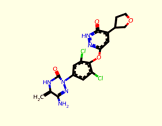 C=C1NC(=O)N(c2cc(Cl)c(Oc3cc(C4CCOC4)c(=O)[nH]n3)c(Cl)c2)N=C1N